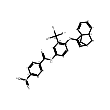 O=C(Nc1ccc(OC2=CC3CC4C=CC=CC24C3)c(C(F)(F)F)c1)c1ccc([N+](=O)[O-])cc1